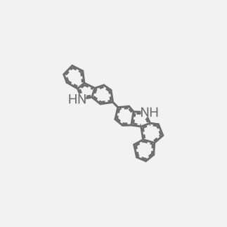 c1ccc2c(c1)ccc1[nH]c3cc(-c4ccc5c(c4)[nH]c4ccccc45)ccc3c12